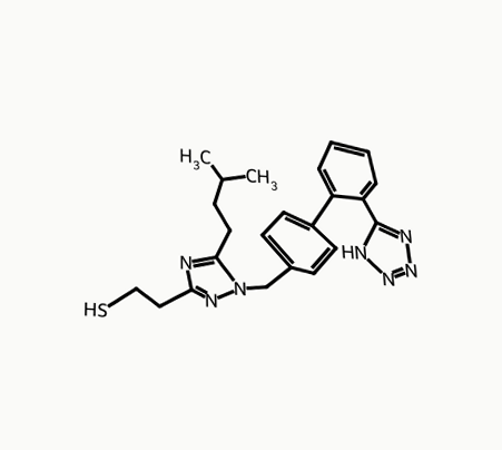 CC(C)CCc1nc(CCS)nn1Cc1ccc(-c2ccccc2-c2nnn[nH]2)cc1